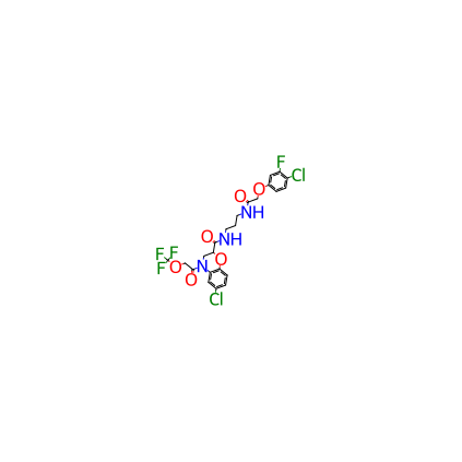 O=C(COc1ccc(Cl)c(F)c1)NCCCNC(=O)C1CN(C(=O)COC(F)(F)F)c2cc(Cl)ccc2O1